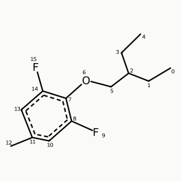 CCC(CC)COc1c(F)cc(C)cc1F